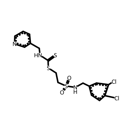 O=S(=O)(CCSC(=S)NCc1cccnc1)NCc1ccc(Cl)c(Cl)c1